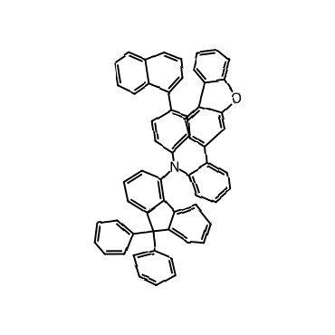 c1ccc(C2(c3ccccc3)c3ccccc3-c3c(N(c4ccc(-c5cccc6ccccc56)cc4)c4ccccc4-c4ccc5c(c4)oc4ccccc45)cccc32)cc1